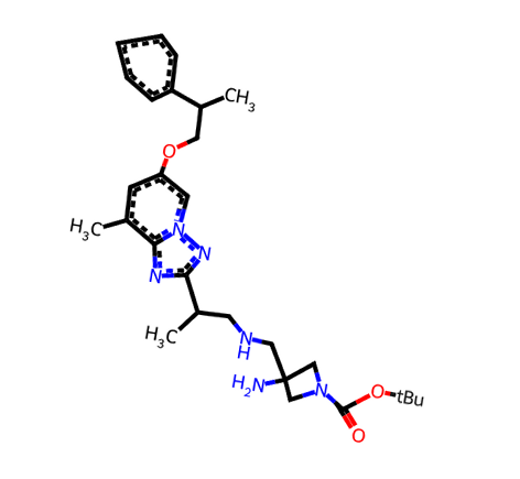 Cc1cc(OCC(C)c2ccccc2)cn2nc(C(C)CNCC3(N)CN(C(=O)OC(C)(C)C)C3)nc12